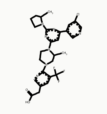 CC1CN(c2ncc(CC(=O)O)cc2C(F)(F)F)CCN1c1cc(-c2cncc(Cl)c2)nc(N2CCCC2C)n1